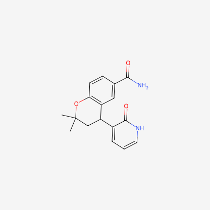 CC1(C)CC(c2ccc[nH]c2=O)c2cc(C(N)=O)ccc2O1